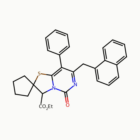 CCOC(=O)C1n2c(c(-c3ccccc3)c(Cc3cccc4ccccc34)nc2=O)SC12CCCC2